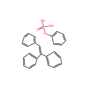 C(=C(c1ccccc1)c1ccccc1)c1ccccc1.O=P(O)(O)Oc1ccccc1